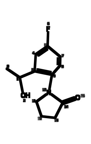 CC(O)c1cc(F)ccc1N1CCCC1=O